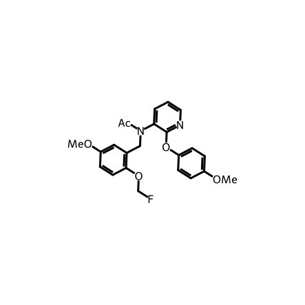 COc1ccc(Oc2ncccc2N(Cc2cc(OC)ccc2OCF)C(C)=O)cc1